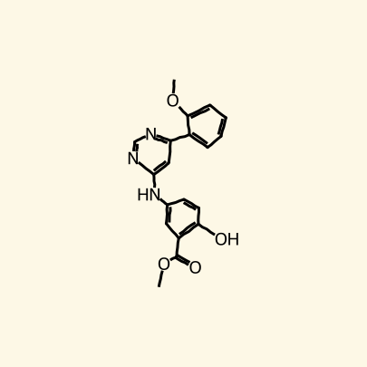 COC(=O)c1cc(Nc2cc(-c3ccccc3OC)ncn2)ccc1O